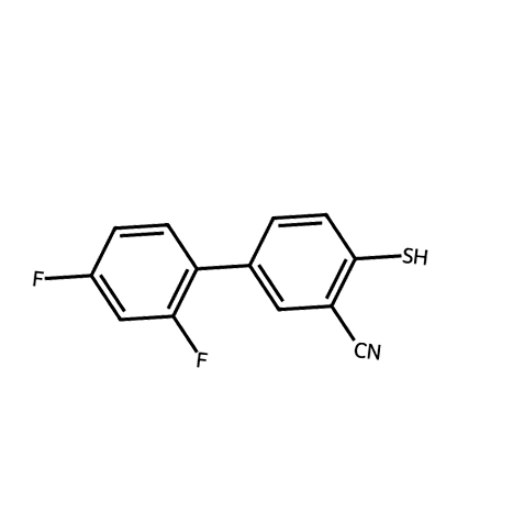 N#Cc1cc(-c2ccc(F)cc2F)ccc1S